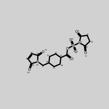 O=C(OS(=O)(=O)N1C(=O)CCC1=O)C1CCC(CN2C(=O)C=CC2=O)CC1